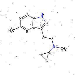 Cc1ccc2[nH]cc(CCN(C)C3CC3)c2c1